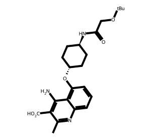 Cc1nc2cccc(O[C@H]3CC[C@H](NC(=O)COC(C)(C)C)CC3)c2c(N)c1C(=O)O